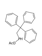 CC(=O)OPCC(c1ccccc1)(c1ccccc1)c1ccccc1